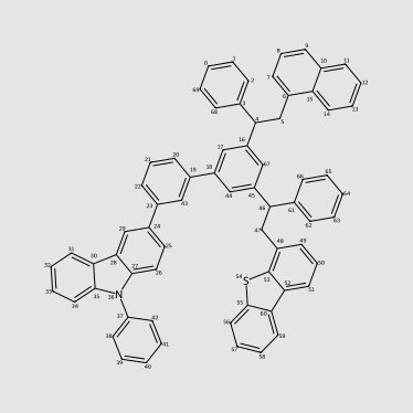 c1ccc(C(Cc2cccc3ccccc23)c2cc(-c3cccc(-c4ccc5c(c4)c4ccccc4n5-c4ccccc4)c3)cc(C(Cc3cccc4c3sc3ccccc34)c3ccccc3)c2)cc1